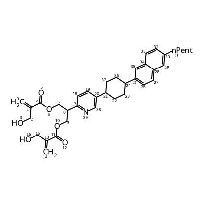 C=C(CO)C(=O)OCC(COC(=O)C(=C)CO)c1ccc(C2CCC(c3ccc4cc(CCCCC)ccc4c3)CC2)cn1